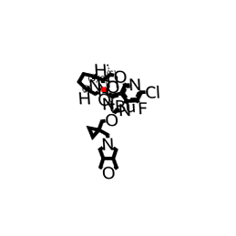 C[C@@H]1Oc2nc(Cl)c(F)c3nc(OCC4(CN5CC6COCC6C5)CC4)nc(c23)N2C[C@H]3CC[C@@H]([C@@H]12)N3C(=O)OC(C)(C)C